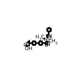 CCN(c1cc(-c2ccccc2)no1)c1c(C)noc1-c1ccc(-c2ccc(C3(CC(=O)O)CC3)cc2)cc1